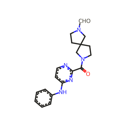 O=CN1CCC2(CCN(C(=O)c3nccc(Nc4ccccc4)n3)C2)C1